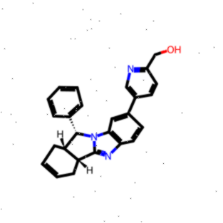 OCc1ccc(-c2ccc3nc4n(c3c2)[C@@H](c2ccccc2)[C@H]2CC=CC[C@@H]42)cn1